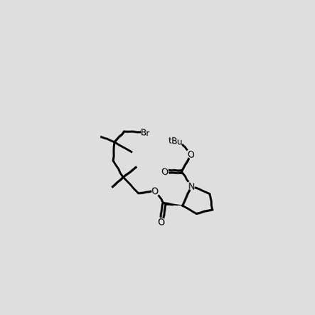 CC(C)(CBr)CC(C)(C)COC(=O)[C@@H]1CCCN1C(=O)OC(C)(C)C